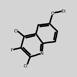 CCOc1ccc2nc(Cl)c(F)c(Cl)c2c1